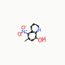 Cc1cc(O)c2ncccc2c1[N+](=O)[O-]